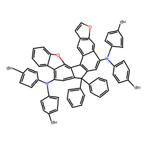 CC(C)(C)c1ccc(N(c2ccc(C(C)(C)C)cc2)c2cc3c(c4cc5ccoc5cc24)-c2c(cc(N(c4ccc(C(C)(C)C)cc4)c4ccc(C(C)(C)C)cc4)c4c2oc2ccccc24)C3(c2ccccc2)c2ccccc2)cc1